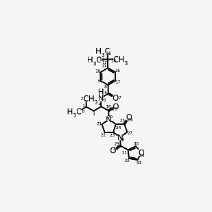 CC(C)CC(NC(=O)c1ccc(C(C)(C)C)cc1)C(=O)N1CCC2C1C(=O)CN2C(=O)c1ccoc1